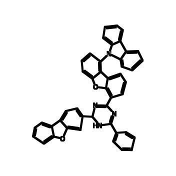 c1ccc(C2=NC(c3cccc4c3oc3cccc(-n5c6ccccc6c6ccccc65)c34)=NC(c3ccc4c(c3)oc3ccccc34)N2)cc1